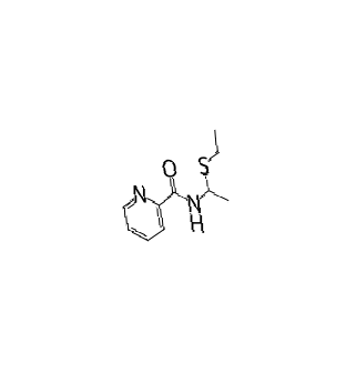 CCSC(C)NC(=O)c1ccccn1